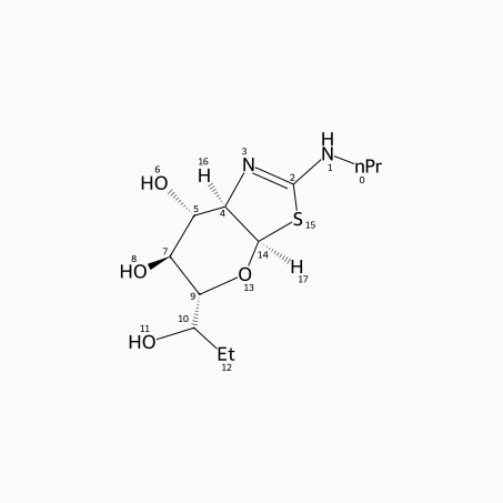 CCCNC1=N[C@@H]2[C@@H](O)[C@H](O)[C@@H](C(O)CC)O[C@@H]2S1